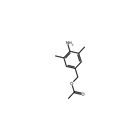 CC(=O)OCc1cc(C)c(N)c(C)c1